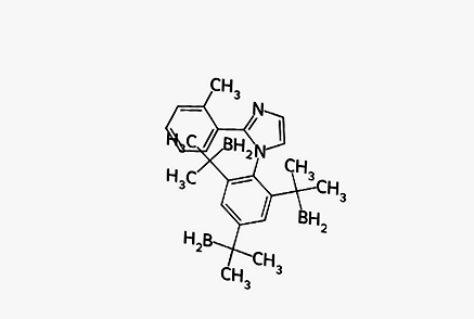 BC(C)(C)c1cc(C(B)(C)C)c(-n2ccnc2-c2ccccc2C)c(C(B)(C)C)c1